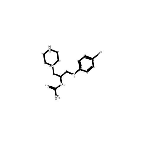 O=C(OC(COc1ccc(F)cc1)CN1CCNCC1)C(F)(F)F